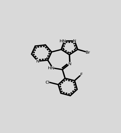 Fc1cccc(Cl)c1C1=Nc2c(Br)n[nH]c2-c2cccnc2N1